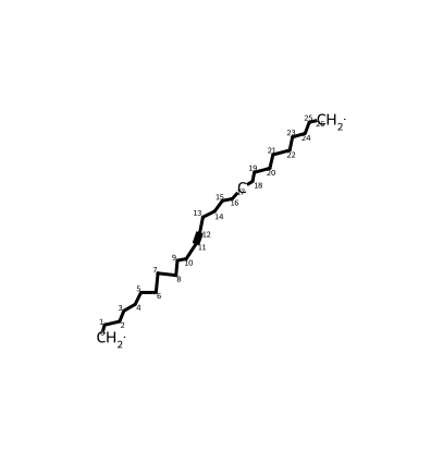 [CH2]CCCCCCCCCCC#CCCCCCCCCCCCCC[CH2]